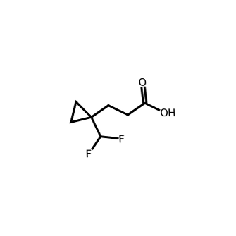 O=C(O)CCC1(C(F)F)CC1